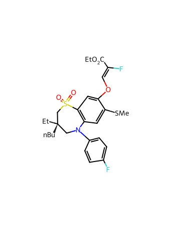 CCCC[C@]1(CC)CN(c2ccc(F)cc2)c2cc(SC)c(O/C=C(\F)C(=O)OCC)cc2S(=O)(=O)C1